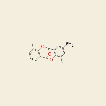 Bc1cc(C)c2c(c1)C1Oc3c(C)cccc3C(O2)O1